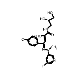 CN(/N=C(\C=C(/C=O)C(=O)NC[C@@H](O)CO)c1ccc(Cl)cc1)c1cncc(F)c1